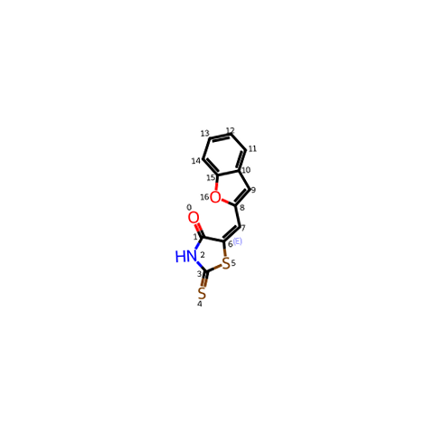 O=C1NC(=S)S/C1=C/c1cc2ccccc2o1